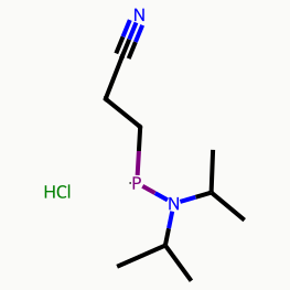 CC(C)N([P]CCC#N)C(C)C.Cl